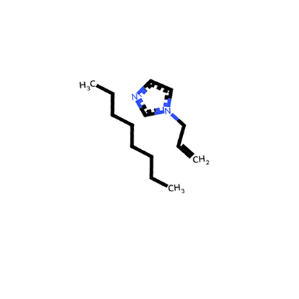 C=CCn1ccnc1.CCCCCCCC